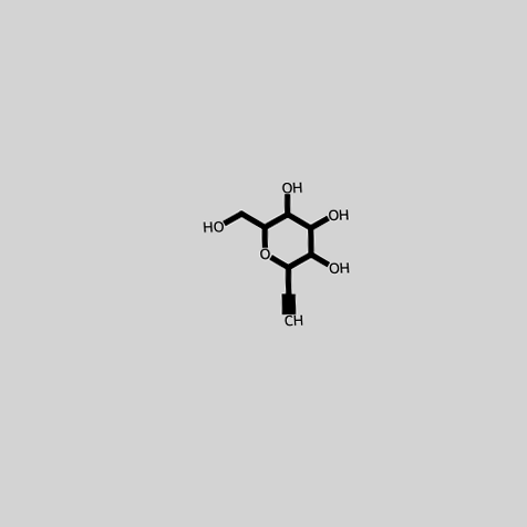 C#CC1OC(CO)C(O)C(O)C1O